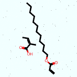 C=CC(=O)OCCCCCCCCCCCC.CC=C(C)C(=O)O